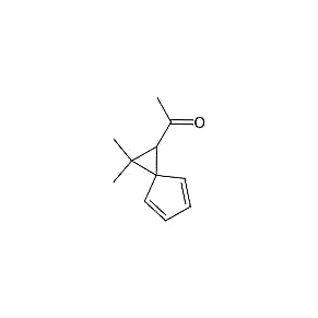 CC(=O)C1C(C)(C)C12C=CC=C2